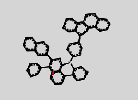 c1ccc(-c2ccc(N(c3ccc(-c4cc5c6ccccc6ccc5c5ccccc45)cc3)c3ccccc3-c3ccccc3)cc2-c2ccc3ccccc3c2)cc1